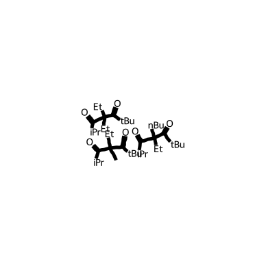 CCC(C)(C(=O)C(C)C)C(=O)C(C)(C)C.CCC(CC)(C(=O)C(C)C)C(=O)C(C)(C)C.CCCCC(CC)(C(=O)C(C)C)C(=O)C(C)(C)C